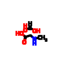 CNCC(=O)O.OBO